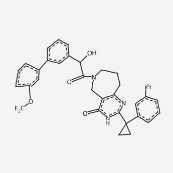 CC(C)c1cccc(C2(c3nc4c(c(=O)[nH]3)CN(C(=O)C(O)c3cccc(-c5cccc(OC(F)(F)F)c5)c3)CCC4)CC2)c1